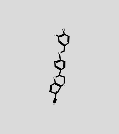 N#Cc1ccc2c(c1)OCC(c1ccc(OCc3ccc(Cl)c(Cl)c3)cc1)O2